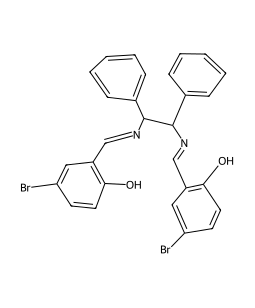 Oc1ccc(Br)cc1/C=N/C(c1ccccc1)C(/N=C/c1cc(Br)ccc1O)c1ccccc1